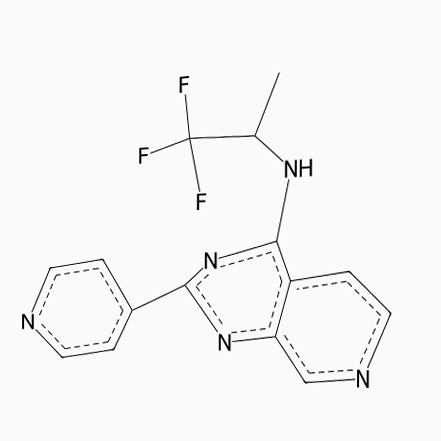 CC(Nc1nc(-c2ccncc2)nc2cnccc12)C(F)(F)F